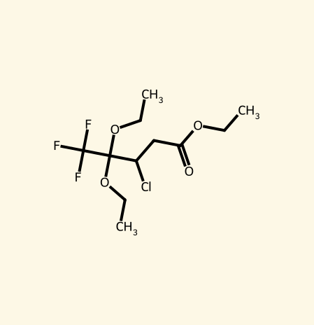 CCOC(=O)CC(Cl)C(OCC)(OCC)C(F)(F)F